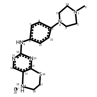 CN1CCN(c2ccc(Nc3ncc4c(n3)SCC[NH+]4[O-])cc2)CC1